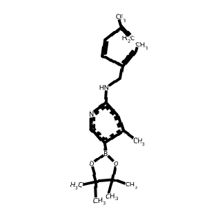 C=C(/C=C\C(=C/C)CNc1cc(C)c(B2OC(C)(C)C(C)(C)O2)cn1)C(F)(F)F